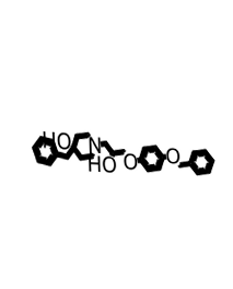 OC(COc1ccc(OCc2ccccc2)cc1)CN1CCC(O)(Cc2ccccc2)CC1